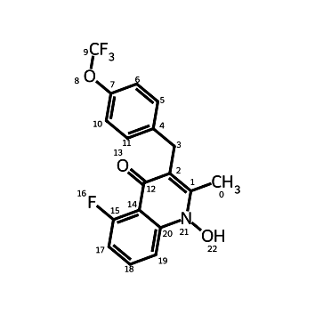 Cc1c(Cc2ccc(OC(F)(F)F)cc2)c(=O)c2c(F)cccc2n1O